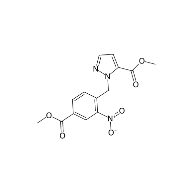 COC(=O)c1ccc(Cn2nccc2C(=O)OC)c([N+](=O)[O-])c1